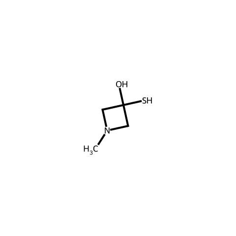 CN1CC(O)(S)C1